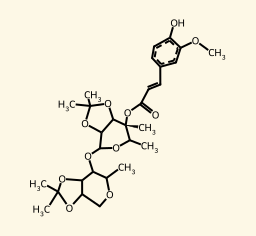 COc1cc(/C=C/C(=O)O[C@]2(C)C(C)OC(OC3C(C)OCC4OC(C)(C)OC43)C3OC(C)(C)OC32)ccc1O